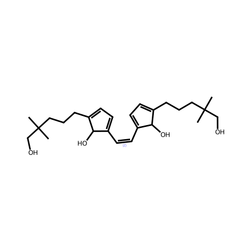 CC(C)(CO)CCCC1=CC=C(/C=C\C2=CC=C(CCCC(C)(C)CO)C2O)C1O